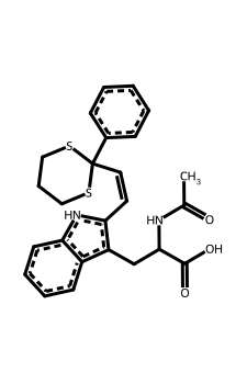 CC(=O)NC(Cc1c(C=CC2(c3ccccc3)SCCCS2)[nH]c2ccccc12)C(=O)O